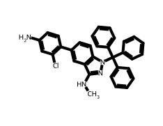 CNc1nn(C(c2ccccc2)(c2ccccc2)c2ccccc2)c2ccc(-c3ccc(N)cc3Cl)cc12